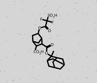 CC1(OC(=O)C2C3CC(CC3OC(=O)C(F)(F)S(=O)(=O)O)C2C(=O)O)C2CC3CC(C2)CC1C3